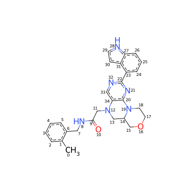 Cc1ccccc1CNC(=O)CN1CC2COCCN2c2nc(-c3cccc4[nH]ccc34)ncc21